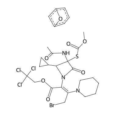 COC(=O)SC1(NC(C)=O)C(=O)N(C(C(=O)OCC(Cl)(Cl)Cl)=C(CBr)N2CCCCC2)C1C1CC1.c1cc2cc(c1)O2